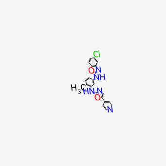 Cc1ccc(Nc2nc3cc(Cl)ccc3o2)cc1Nc1ncc(-c2ccncc2)o1